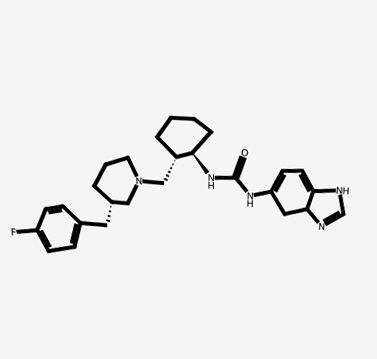 O=C(NC1=CC=C2NC=NC2C1)N[C@@H]1CCCC[C@H]1CN1CCC[C@@H](Cc2ccc(F)cc2)C1